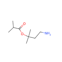 CC(C)C(=O)OC(C)(C)CCN